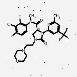 Cc1cc(C(F)(F)F)cc(N2C(=O)N(CCN3CCOCC3)C[C@H]2C(=O)N(C)c2ccc(F)c(Cl)c2F)n1